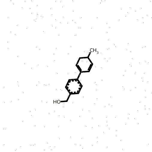 CC1C=CC(c2ccc(CO)cc2)=CC1